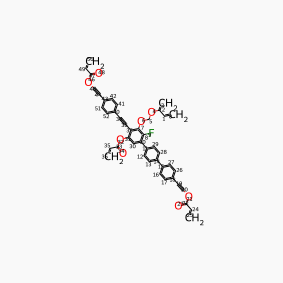 C=CC(=C)OCOc1c(F)c(-c2ccc(-c3ccc(C#COC(=O)C=C)cc3)cc2)cc(OC(=O)C=C)c1C#Cc1ccc(C#COC(=O)C=C)cc1